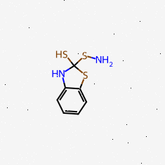 NSC1(S)Nc2ccccc2S1